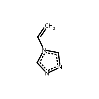 C=Cn1cnnc1